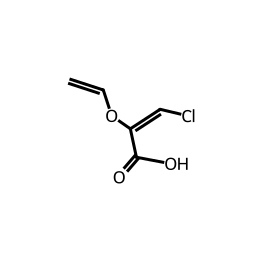 C=COC(=CCl)C(=O)O